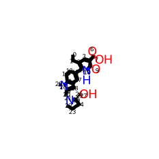 CCc1cc(C(=O)O)c(=O)[nH]c1-c1ccc2c(c1)cc(CN1CCC[C@@H]1CO)n2C